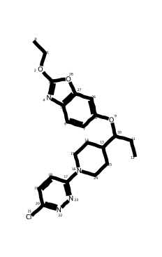 CCOc1nc2ccc(OC(CC)C3CCN(c4ccc(Cl)nn4)CC3)cc2o1